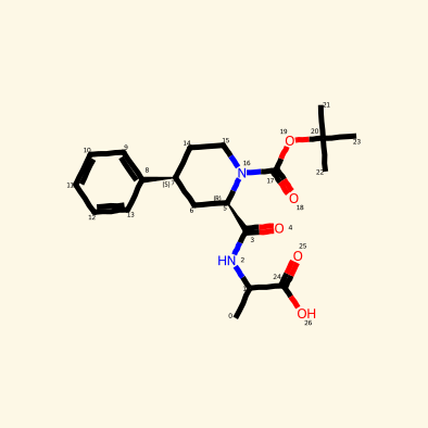 CC(NC(=O)[C@H]1C[C@@H](c2ccccc2)CCN1C(=O)OC(C)(C)C)C(=O)O